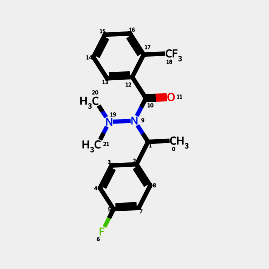 CC(c1ccc(F)cc1)N(C(=O)c1ccccc1C(F)(F)F)N(C)C